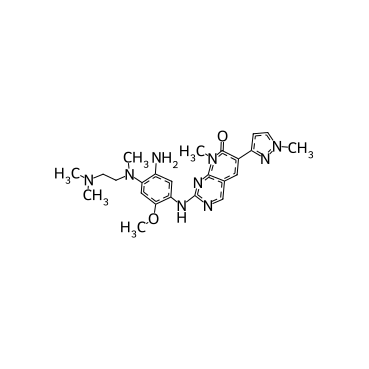 COc1cc(N(C)CCN(C)C)c(N)cc1Nc1ncc2cc(-c3ccn(C)n3)c(=O)n(C)c2n1